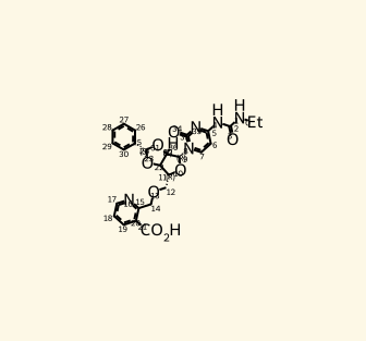 CCNC(=O)Nc1ccn([C@@H]2O[C@H](COCc3ncccc3C(=O)O)C3O[C@H](c4ccccc4)O[C@@H]32)c(=O)n1